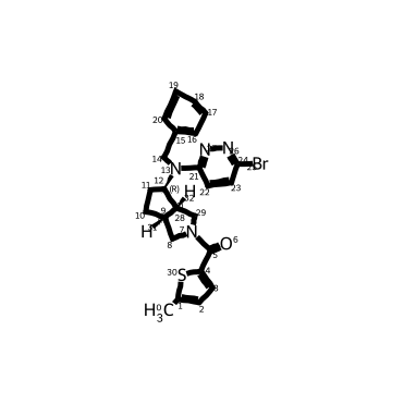 Cc1ccc(C(=O)N2C[C@@H]3CC[C@@H](N(Cc4ccccc4)c4ccc(Br)nn4)[C@@H]3C2)s1